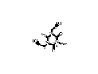 C#CCn1c(=O)n(CC#C)c(=O)n(CCC)c1=O